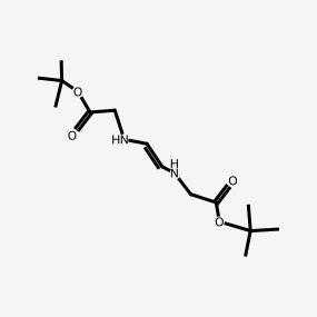 CC(C)(C)OC(=O)CN/C=C/NCC(=O)OC(C)(C)C